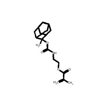 C=C(C)C(=O)OCCNC(=O)OC1(C)C2CC3CC(C2)CC1C3